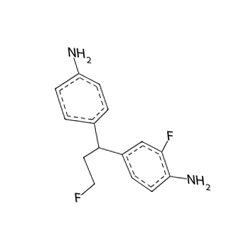 Nc1ccc(C(CCF)c2ccc(N)c(F)c2)cc1